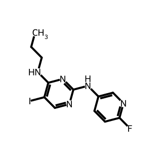 CCCNc1nc(Nc2ccc(F)nc2)ncc1I